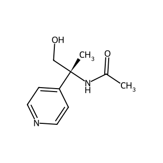 CC(=O)N[C@@](C)(CO)c1ccncc1